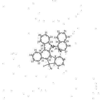 CC1(C)c2ccccc2-c2c1c1ccccc1c1c3ccccc3n(-c3nccc4ccccc34)c21